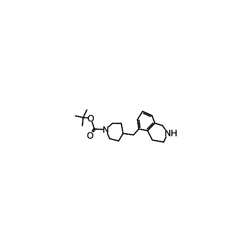 CC(C)(C)OC(=O)N1CCC(Cc2cccc3c2CCNC3)CC1